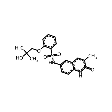 Cc1cc2cc(NS(=O)(=O)c3ccccc3OCC(C)(C)O)ccc2[nH]c1=O